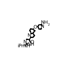 CC(C)Nc1ncc(-c2ccc3cc(Oc4ccnc(N)c4)ccc3n2)c(=O)[nH]1